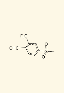 CS(=O)(=O)c1ccc(C=O)c(C(F)(F)F)c1